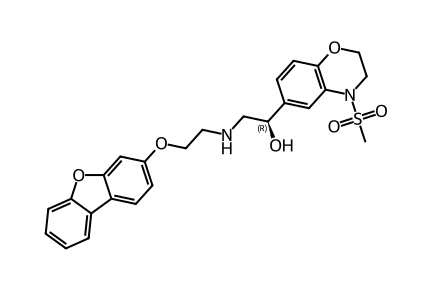 CS(=O)(=O)N1CCOc2ccc([C@@H](O)CNCCOc3ccc4c(c3)oc3ccccc34)cc21